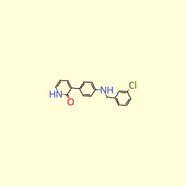 O=c1[nH]cccc1-c1ccc(NCc2cccc(Cl)c2)cc1